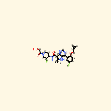 Cc1[nH]c2c(-c3cc(F)ccc3OCC3CC3)ncnc2c1C(=O)N[C@@H]1CCN(C(=O)CO)C[C@@H]1F